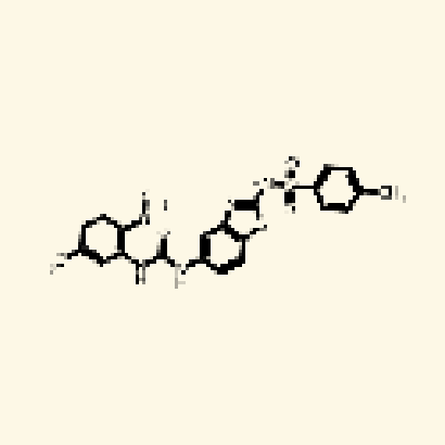 COC1=C(NC(=O)Nc2ccc3sc(NS(=O)(=O)c4ccc(C)cc4)nc3c2)C=C(C)CC1